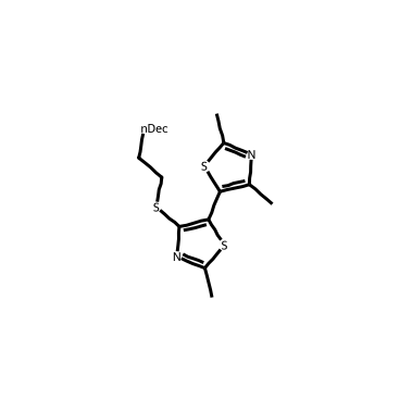 CCCCCCCCCCCCSc1nc(C)sc1-c1sc(C)nc1C